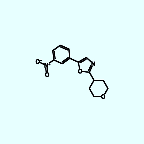 O=[N+]([O-])c1cccc(-c2cnc(C3CCOCC3)o2)c1